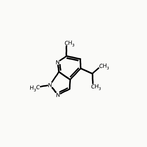 Cc1cc(C(C)C)c2cnn(C)c2n1